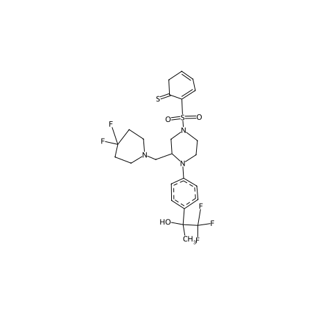 CC(O)(c1ccc(N2CCN(S(=O)(=O)C3=CC=CCC3=S)CC2CN2CCC(F)(F)CC2)cc1)C(F)(F)F